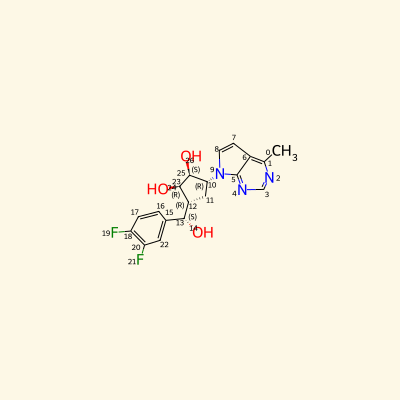 Cc1ncnc2c1ccn2[C@@H]1C[C@H]([C@H](O)c2ccc(F)c(F)c2)[C@@H](O)[C@H]1O